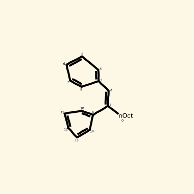 CCCCCCCCC(=Cc1ccccc1)c1ccccc1